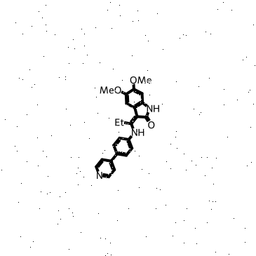 CC/C(Nc1ccc(-c2ccncc2)cc1)=C1/C(=O)Nc2cc(OC)c(OC)cc21